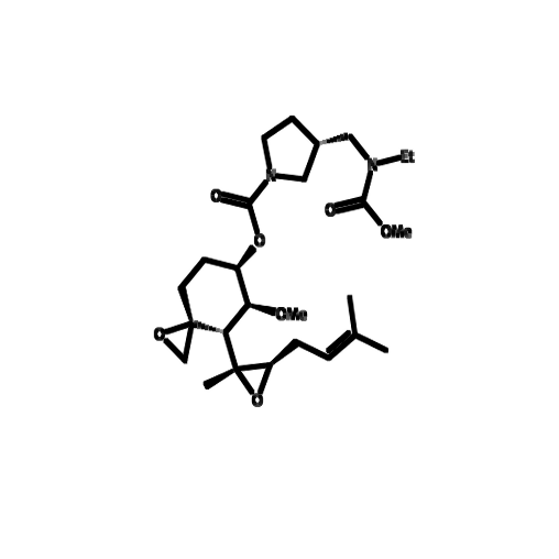 CCN(C[C@H]1CCN(C(=O)O[C@@H]2CC[C@]3(CO3)[C@@H]([C@@]3(C)O[C@@H]3CC=C(C)C)[C@@H]2OC)C1)C(=O)OC